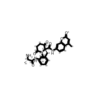 Cc1cc(=O)oc2cc(NC(=O)[C@@]3(Cc4ccccc4)C(=O)CCC(=O)N3C(=O)[C@H](C)NC(=O)[C@H](C)N)ccc12